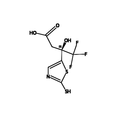 O=C(O)C[C@@](O)(c1cnc(S)s1)C(F)(F)F